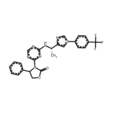 C[C@H](Nc1ncnc(N2C(=O)OCC2c2ccccc2)n1)c1cn(-c2ccc(C(F)(F)F)cc2)cn1